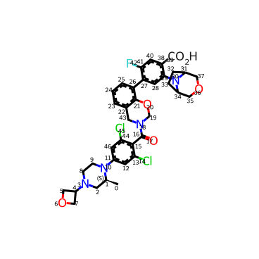 C[C@H]1CN(C2COC2)CCN1c1cc(Cl)c(C(=O)N2COc3c(cccc3-c3cc(N4C5CCC4COC5)c(C(=O)O)cc3F)C2)c(Cl)c1